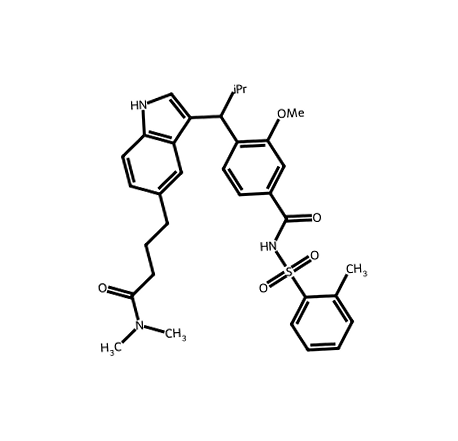 COc1cc(C(=O)NS(=O)(=O)c2ccccc2C)ccc1C(c1c[nH]c2ccc(CCCC(=O)N(C)C)cc12)C(C)C